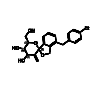 C=C1[C@@H](O)[C@H](O)[C@@H](CO)O[C@]12OCc1c(Cc3ccc(CC)cc3)cccc12